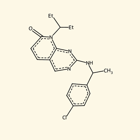 CCC(CC)n1c(=O)ccc2cnc(NC(C)c3ccc(Cl)cc3)nc21